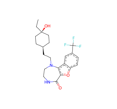 CC[C@]1(O)CC[C@@H](CCN2CCNC(=O)c3oc4ccc(C(F)(F)F)cc4c32)CC1